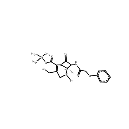 C[Si](C)(C)OC(=O)C1=C(CBr)C[S+]([O-])[C@@H]2C(NC(=O)COc3ccccc3)C(=O)N12